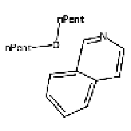 CCCCCOCCCCC.c1ccc2cnccc2c1